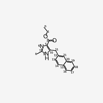 CCOC(=O)c1nc(C)[nH]c1Cc1ccc2ccccc2c1